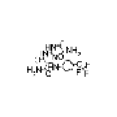 CC[C@@H](Nc1nc(Nc2ccc(OC(F)(F)F)cc2)c(C(N)=O)c(=O)[nH]1)C(N)=O